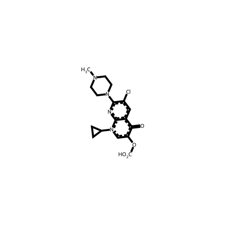 CN1CCN(c2nc3c(cc2Cl)c(=O)c(OC(=O)O)cn3C2CC2)CC1